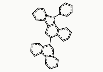 c1ccc(-n2c3ccccc3c3cc(-c4cc5ccccc5c5ccccc45)c4ccccc4c32)cc1